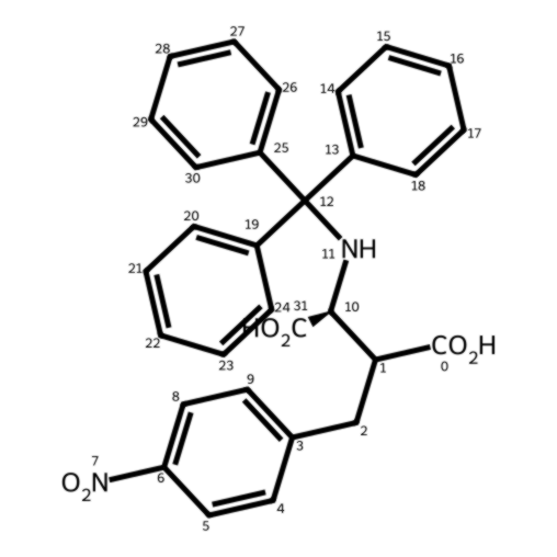 O=C(O)C(Cc1ccc([N+](=O)[O-])cc1)[C@H](NC(c1ccccc1)(c1ccccc1)c1ccccc1)C(=O)O